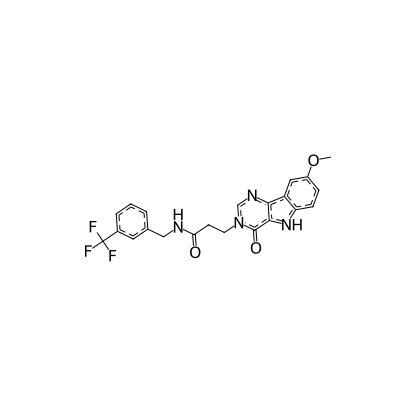 COc1ccc2[nH]c3c(=O)n(CCC(=O)NCc4cccc(C(F)(F)F)c4)cnc3c2c1